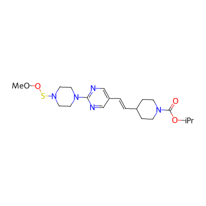 COOSN1CCN(c2ncc(/C=C/C3CCN(C(=O)OC(C)C)CC3)cn2)CC1